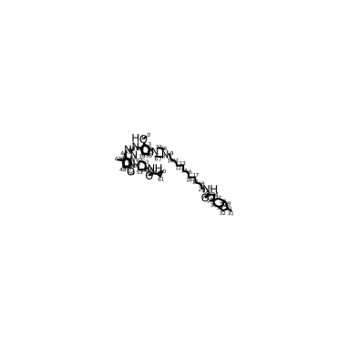 COc1cc(N2CCN(CCCCCCCCCCCCNC(=O)CC3(C)CC4CC(C)CC(C4)C3)CC2)ccc1Nc1ncc2c(C)cc(=O)n([C@H]3CC[C@@H](NC(=O)C4CC4)CC3)c2n1